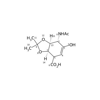 CC(=O)N[C@@H]1C(O)=CC(C(=O)O)[C@H]2OC(C)(C)O[C@@H]12